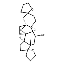 CC12CC(O)[C@]34C[C@]35CCC3(C[C@]56CC[C@]4(O6)[C@@H]1CCC21OCCO1)OCCO3